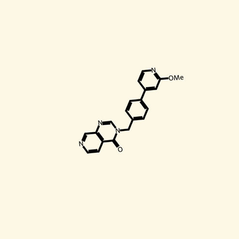 COc1cc(-c2ccc(Cn3cnc4cnccc4c3=O)cc2)ccn1